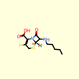 CCCCCNC1C(=O)N2C(C(=O)O)=C(F)CS[C@@H]12